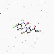 COC(=O)c1ccc[n+](C2C(=O)N(C)c3cc(Cl)ccc32)c1.[Br-]